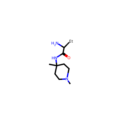 CCC(N)C(=O)NC1(C)CCN(C)CC1